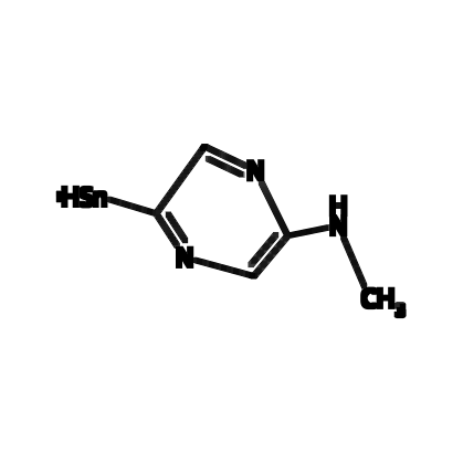 CNc1cn[c]([SnH])cn1